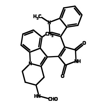 Cc1cccc2c1c(C1=C(c3cn(C)c4ccccc34)C(=O)NC1=O)c1n2CCC(NC=O)C1